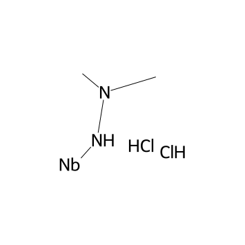 CN(C)[NH][Nb].Cl.Cl